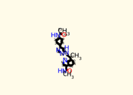 CNC(=O)c1ccnc2c([C@H](C)CNc3cc(-c4ccc(NC(C)=O)cc4)ncn3)cccc12